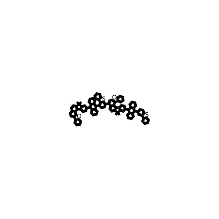 CC1(C)c2cc(-c3c4ccccc4c(-c4ccc(-c5cc6oc7ccccc7c6c6c7c(ccc56)C(C)(C)c5cc(-c6c8ccccc8c(-c8ccc9sc%10ccccc%10c9c8)c8ccccc68)ccc5-7)c5sc6ccccc6c45)c4ccccc34)ccc2-c2c1ccc1ccc3c4ccccc4oc3c21